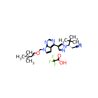 CC(C)(C)[C@H](CC#N)n1cc(-c2ncnc3c2ccn3COCC[Si](C)(C)C)cn1.O=C(O)C(F)(F)F